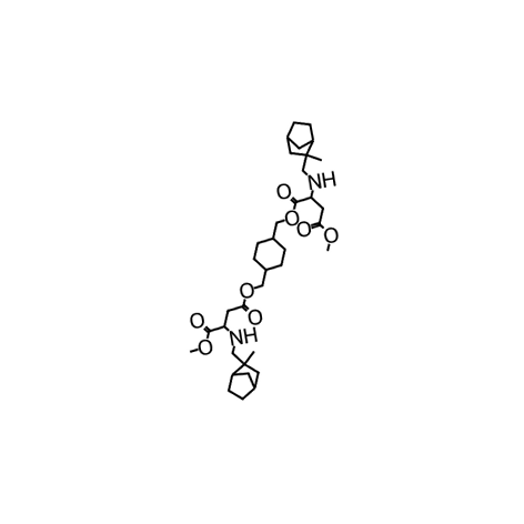 COC(=O)CC(NCC1(C)CC2CCC1C2)C(=O)OCC1CCC(COC(=O)CC(NCC2(C)CC3CCC2C3)C(=O)OC)CC1